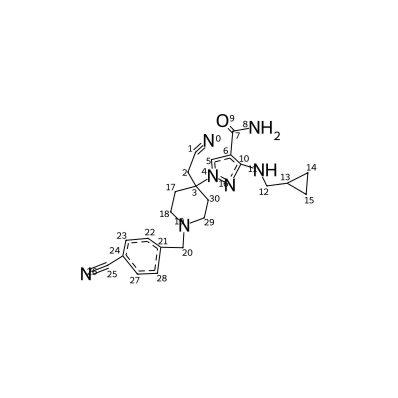 N#CCC1(n2cc(C(N)=O)c(NCC3CC3)n2)CCN(Cc2ccc(C#N)cc2)CC1